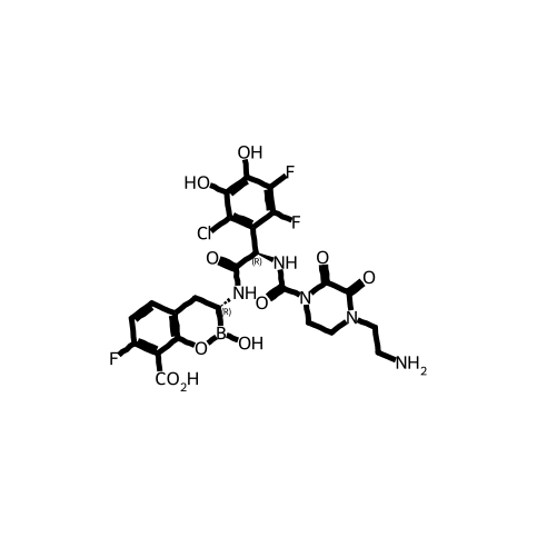 NCCN1CCN(C(=O)N[C@@H](C(=O)N[C@H]2Cc3ccc(F)c(C(=O)O)c3OB2O)c2c(F)c(F)c(O)c(O)c2Cl)C(=O)C1=O